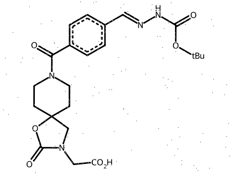 CC(C)(C)OC(=O)NN=Cc1ccc(C(=O)N2CCC3(CC2)CN(CC(=O)O)C(=O)O3)cc1